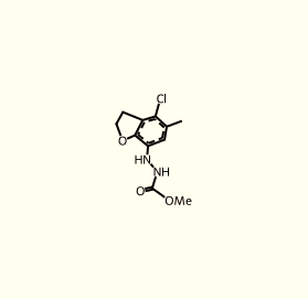 COC(=O)NNc1cc(C)c(Cl)c2c1OCC2